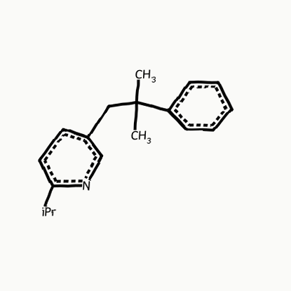 CC(C)c1ccc(CC(C)(C)c2ccccc2)cn1